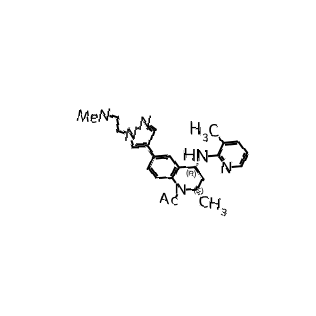 CNCCn1cc(-c2ccc3c(c2)[C@H](Nc2ncccc2C)C[C@H](C)N3C(C)=O)cn1